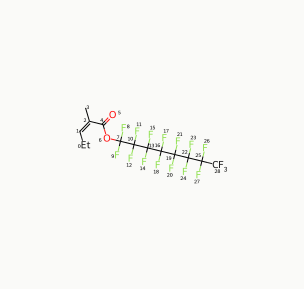 CCC=C(C)C(=O)OC(F)(F)C(F)(F)C(F)(F)C(F)(F)C(F)(F)C(F)(F)C(F)(F)C(F)(F)F